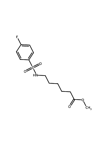 COC(=O)CCCCCNS(=O)(=O)c1ccc(F)cc1